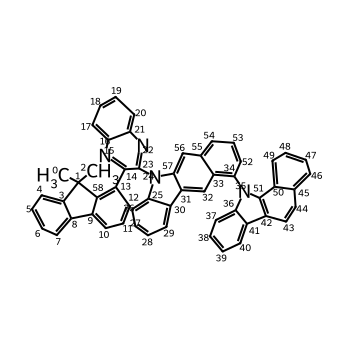 CC1(C)c2ccccc2-c2cccc(-c3nc4ccccc4nc3-n3c4ccccc4c4cc5c(-n6c7ccccc7c7ccc8ccccc8c76)cccc5cc43)c21